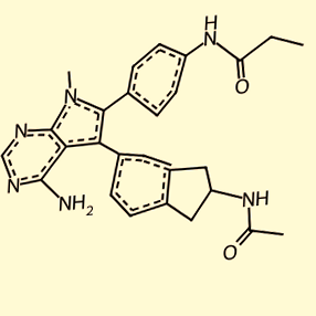 CCC(=O)Nc1ccc(-c2c(-c3ccc4c(c3)CC(NC(C)=O)C4)c3c(N)ncnc3n2C)cc1